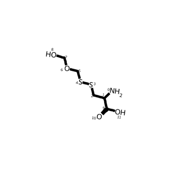 NC(CSSCOCO)C(=O)O